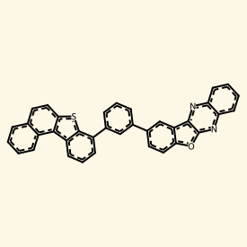 c1cc(-c2ccc3oc4nc5ccccc5nc4c3c2)cc(-c2cccc3c2sc2ccc4ccccc4c23)c1